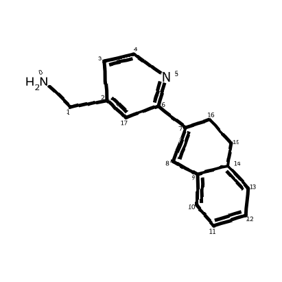 NCc1ccnc(C2=Cc3ccccc3CC2)c1